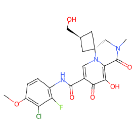 COc1ccc(NC(=O)c2cn3c(c(O)c2=O)C(=O)N(C)C[C@]32C[C@H](CO)C2)c(F)c1Cl